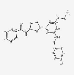 O=C(NC1CCN(c2nc(NCc3ccc(F)cc3)nc(OCC(F)(F)F)n2)C1)c1ccccc1